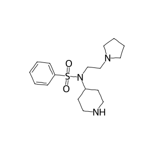 O=S(=O)(c1ccccc1)N(CCN1CCCC1)C1CCNCC1